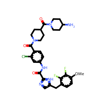 COc1ccc(Cc2cnc(C(=O)Nc3ccc(C(=O)N4CCC(C(=O)N5CCC(N)CC5)CC4)c(Cl)c3)[nH]2)c(F)c1F